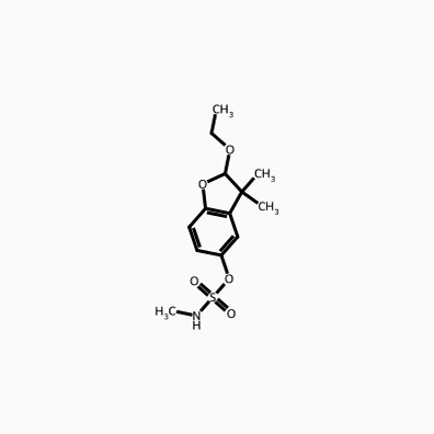 CCOC1Oc2ccc(OS(=O)(=O)NC)cc2C1(C)C